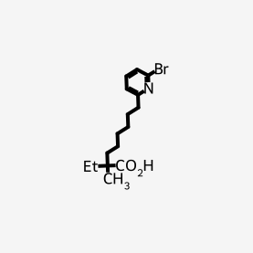 CCC(C)(CCCCCCc1cccc(Br)n1)C(=O)O